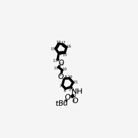 CC(C)(C)OC(=O)NC1CCC(OCCOCc2ccccc2)CC1